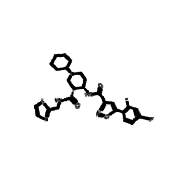 O=C(N[C@@H]1CCN(C2CCCCC2)C[C@H]1C(=O)NCc1nccs1)c1cc(-c2ccc(F)cc2F)on1